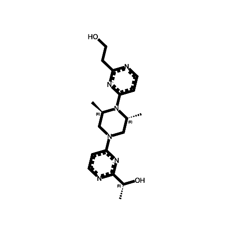 C[C@@H]1CN(c2ccnc([C@@H](C)O)n2)C[C@@H](C)N1c1ccnc(CCO)n1